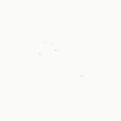 CCCCCCCCCCCCCCCCCCN.CNCC(=O)O.Oc1ccccc1